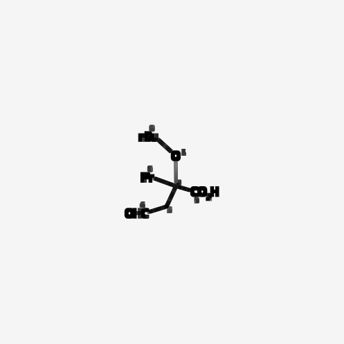 CCCCOC(CC=O)(C(=O)O)C(C)C